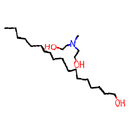 CCCCCCCCCCCCCCCCCCO.CN(CCO)CCO